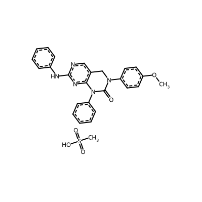 COc1ccc(N2Cc3cnc(Nc4ccccc4)nc3N(c3ccccc3)C2=O)cc1.CS(=O)(=O)O